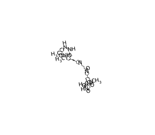 Cc1ccc(NC2CNC2)cc1C(=O)N[C@H](C)c1ccc(C#CC2CCN(CCCCC(=O)N3CCC(c4ccc5c(c4)n(C)c(=O)n5[C@]4(C)CCC(=O)NC4=O)CC3)CC2)c2ccccc12